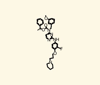 COc1cccc(CN(C(=O)O[C@@H](C)c2ccccc2)c2ccnc(Nc3ccc(OCCCN4CCCCC4)c(F)c3)n2)c1